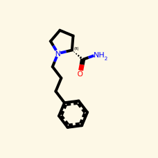 NC(=O)[C@H]1CCCN1CCCc1ccccc1